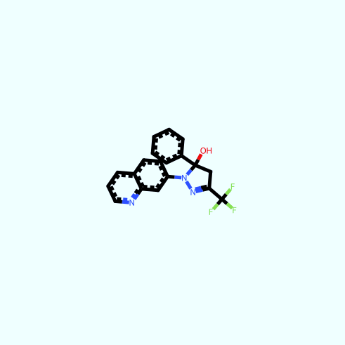 OC1(c2ccccc2)CC(C(F)(F)F)=NN1c1ccc2cccnc2c1